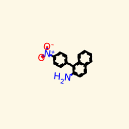 Nc1ccc2ccccc2c1-c1ccc([N+](=O)[O-])cc1